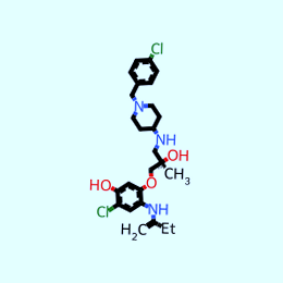 C=C(CC)Nc1cc(Cl)c(O)cc1OC[C@@](C)(O)CNC1CCN(Cc2ccc(Cl)cc2)CC1